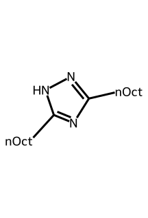 CCCCCCCCc1n[nH]c(CCCCCCCC)n1